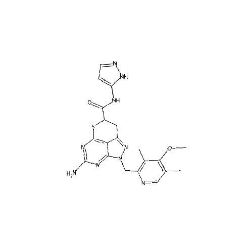 COc1c(C)cnc(Cn2nc3c4c(nc(N)nc42)SC(C(=O)Nc2ccn[nH]2)C3)c1C